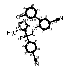 Cn1cncc1C(F)(COc1ccc(C#N)cc1-c1cccc(Cl)c1)c1ccc(C#N)cc1